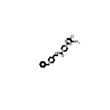 Nc1nc(N2CCN(C(=O)NCCC3CCN(Cc4ccccc4)CC3)CC2)ncc1Cl